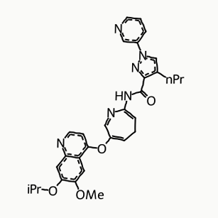 CCCc1cn(-c2cccnc2)nc1C(=O)NC1=CCC=C(Oc2ccnc3cc(OC(C)C)c(OC)cc23)C=N1